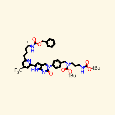 C[C@@H](CCCc1cc(C(F)(F)F)cc(-c2cc3cn(-c4ccc(CN(CCCNC(=O)OC(C)(C)C)C(=O)OC(C)(C)C)cc4)c(=O)nc3[nH]2)n1)NC(=O)OCc1ccccc1